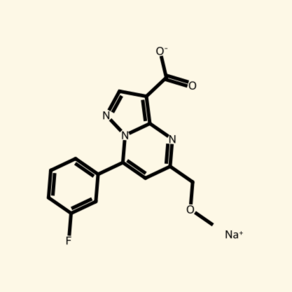 COCc1cc(-c2cccc(F)c2)n2ncc(C(=O)[O-])c2n1.[Na+]